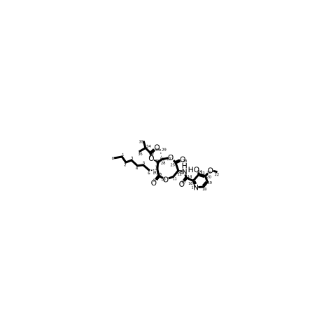 CCCCCCC[C@H]1C(=O)OC[C@H](NC(=O)c2nccc(OC)c2O)C(=O)O[C@@H](C)[C@@H]1OC(=O)C(C)C